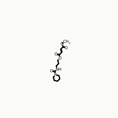 COC(=O)/C=C/C(=O)OCCCNC(=O)N1CCCCC1